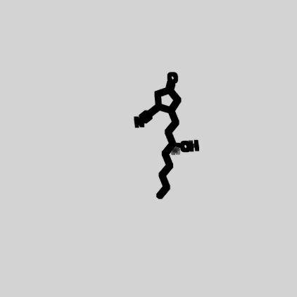 CCCCC[C@@H](O)CCC1CC(=O)CC1C#N